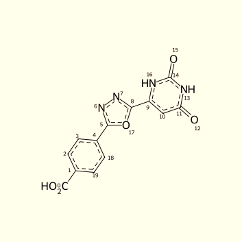 O=C(O)c1ccc(-c2nnc(-c3cc(=O)[nH]c(=O)[nH]3)o2)cc1